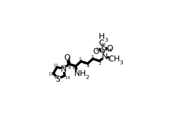 CN(CCCCC(N)C(=O)N1CCSC1)S(C)(=O)=O